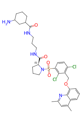 Cc1cc(C)c2cccc(OCc3c(Cl)ccc(S(=O)(=O)N4CCC[C@H]4C(=O)NCCCNC(=O)C4CCCC(N)C4)c3Cl)c2n1